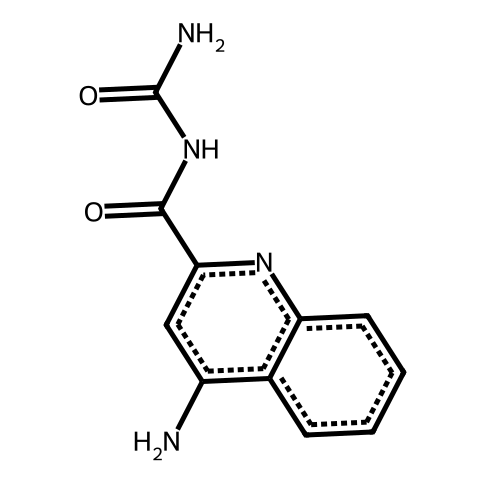 NC(=O)NC(=O)c1cc(N)c2ccccc2n1